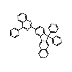 c1ccc(-c2nc(-c3ccc4c(c3)-c3cc5ccccc5cc3C4(c3ccccc3)c3ccccc3)nc3ccccc23)cc1